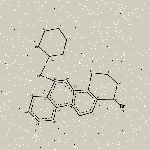 BrC1CCCc2c1ccc1c2cc(CC2CCCCC2)c2ccccc21